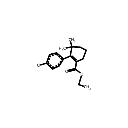 CCOC(=O)C1=C(c2ccc(Cl)cc2)C(C)(C)CCC1